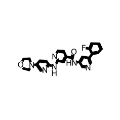 O=C(Nc1cncc(-c2ccccc2F)c1)c1ccnc(Nc2ccc(N3CCOCC3)cn2)c1